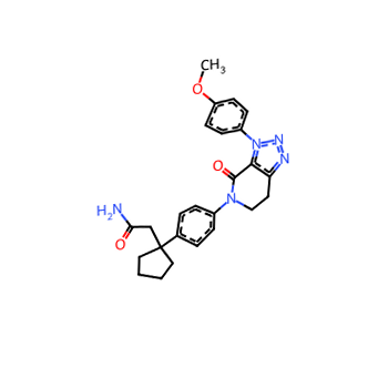 COc1ccc(-n2nnc3c2C(=O)N(c2ccc(C4(CC(N)=O)CCCC4)cc2)CC3)cc1